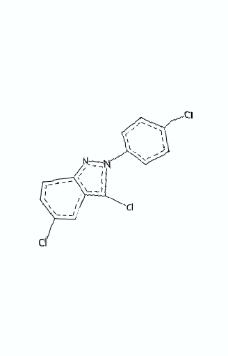 Clc1ccc(-n2nc3ccc(Cl)cc3c2Cl)cc1